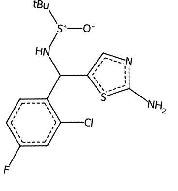 CC(C)(C)[S+]([O-])NC(c1cnc(N)s1)c1ccc(F)cc1Cl